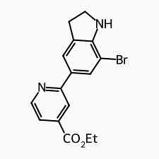 CCOC(=O)c1ccnc(-c2cc(Br)c3c(c2)CCN3)c1